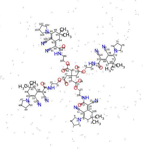 CC1(C)CC(N2CCCC2)=C(C#N)/C(=C(/C#N)C(=O)NCCOC(=O)CC(CC(=O)OCCNC(=O)/C(C#N)=C2\CC(C)(C)CC(N3CCCC3)=C2C#N)(CC(=O)OCCNC(=O)/C(C#N)=C2\CC(C)(C)CC(N3CCCC3)=C2C#N)CC(=O)OCCNC(=O)/C(C#N)=C2\CC(C)(C)CC(N3CCCC3)=C2C#N)C1